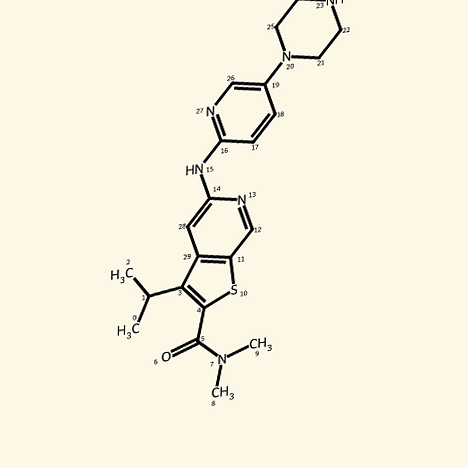 CC(C)c1c(C(=O)N(C)C)sc2cnc(Nc3ccc(N4CCNCC4)cn3)cc12